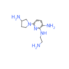 NCCNc1nc(N2CCC(N)C2)ccc1N